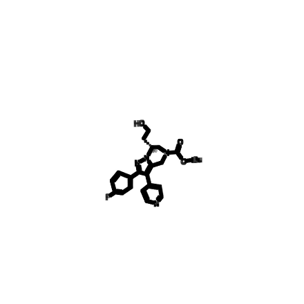 CC(C)(C)OC(=O)N1Cc2c(-c3ccncc3)c(-c3ccc(F)cc3)nn2[C@H](CCO)C1